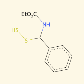 CCOC(=O)NC(SS)c1ccccc1